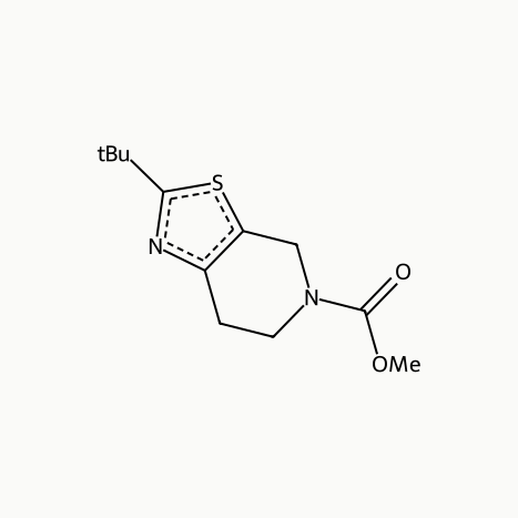 COC(=O)N1CCc2nc(C(C)(C)C)sc2C1